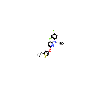 O=CN(c1cccc(Oc2csc(C(F)(F)F)c2)n1)c1ccc(F)cc1F